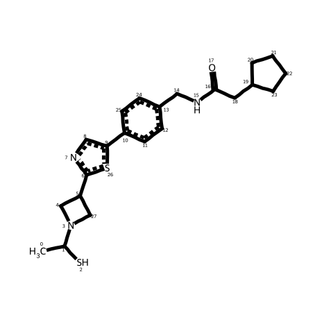 CC(S)N1CC(c2ncc(-c3ccc(CNC(=O)CC4CCCC4)cc3)s2)C1